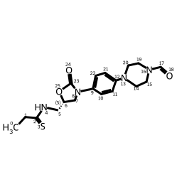 CCC(=S)NC[C@H]1CN(c2ccc(N3CCN(C=O)CC3)cc2)C(=O)O1